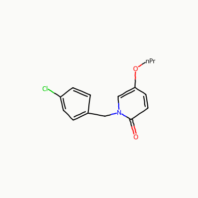 CCCOc1ccc(=O)n(Cc2ccc(Cl)cc2)c1